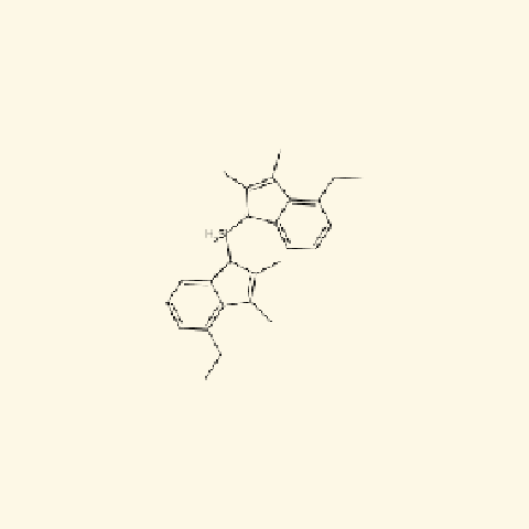 CCc1cccc2c1C(C)=C(C)[C]2[SiH2][C]1C(C)=C(C)c2c(CC)cccc21